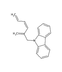 C=C/C=C\C(=C)Cn1c2ccccc2c2ccccc21